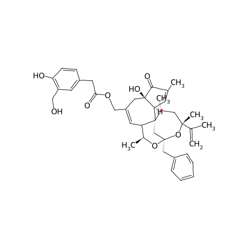 C=C(C)[C@@]1(C)C[C@@H](C)[C@@]23C[C@](Cc4ccccc4)(O[C@@H](C)C2C=C(COC(=O)Cc2ccc(O)c(CO)c2)C[C@]2(O)C(=O)C(C)=C[C@@H]32)O1